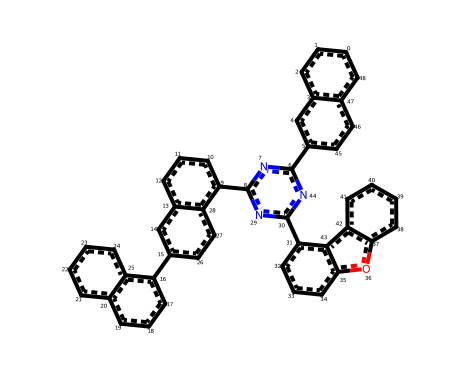 c1ccc2cc(-c3nc(-c4cccc5cc(-c6cccc7ccccc67)ccc45)nc(-c4cccc5oc6ccccc6c45)n3)ccc2c1